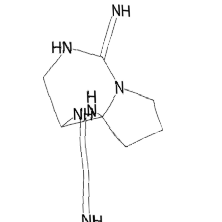 N=C1NC2CNC(=N)N3CCCC23N1